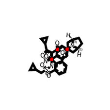 O=C(NS(=O)(=O)CC1CC1)c1ccc(N2[C@@H]3CC[C@H]2C[C@@H](OC(=O)c2c(-c4c(Cl)cccc4Cl)noc2C2CC2)C3)cc1